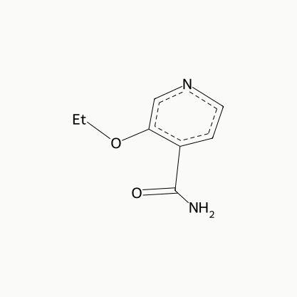 CCOc1cnccc1C(N)=O